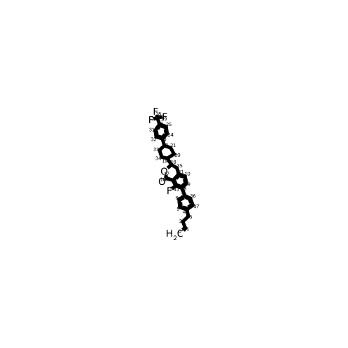 C=CCCc1ccc(-c2ccc3c(c2F)C(=O)OC(C2CCC(c4ccc(C(F)(F)F)cc4)CC2)C3)cc1